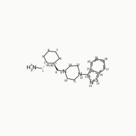 NC[C@@H]1CCCC[C@H]1CN1CCN(c2nsc3ccccc23)CC1